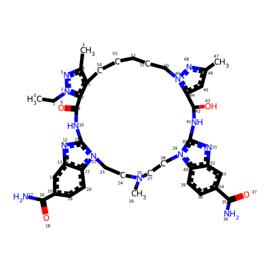 CCn1nc(C)c2c1C(=O)Nc1nc3cc(C(N)=O)ccc3n1CCN(C)CCn1c(nc3cc(C(N)=O)ccc31)NC(O)c1cc(C)nn1CCCCC2